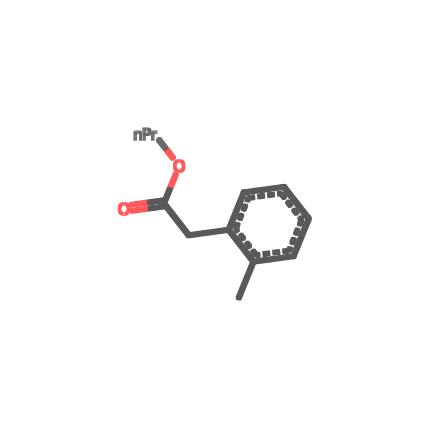 CCCOC(=O)Cc1ccccc1C